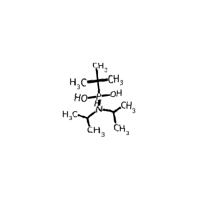 CC(C)N(C(C)C)[PH](O)(O)C(C)(C)C